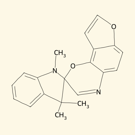 CN1c2ccccc2C(C)(C)C12C=Nc1ccc3occc3c1O2